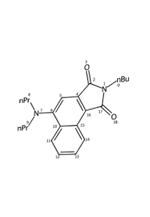 CCCCN1C(=O)c2cc(N(CCC)CCC)c3ccccc3c2C1=O